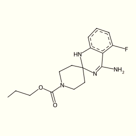 CCCOC(=O)N1CCC2(CC1)N=C(N)c1c(F)cccc1N2